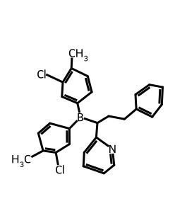 Cc1ccc(B(c2ccc(C)c(Cl)c2)C(CCc2ccccc2)c2ccccn2)cc1Cl